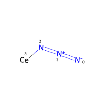 [N-]=[N+]=[N][Ce]